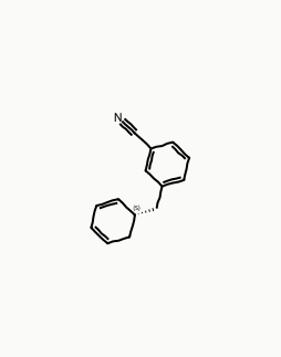 N#Cc1cccc(C[C@H]2C=CC=CC2)c1